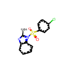 CSc1nc2ccccc2n1S(=O)(=O)c1ccc(Cl)cc1